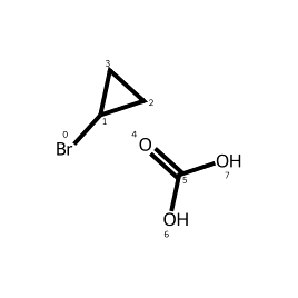 BrC1CC1.O=C(O)O